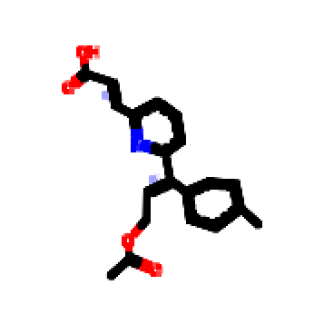 CC(=O)OC/C=C(\c1ccc(C)cc1)c1cccc(/C=C/C(=O)O)n1